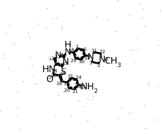 CN1CCN(c2ccc(Nc3ncc4c(n3)SC(=Cc3ccc(N)cc3)C(=O)N4)cc2)CC1